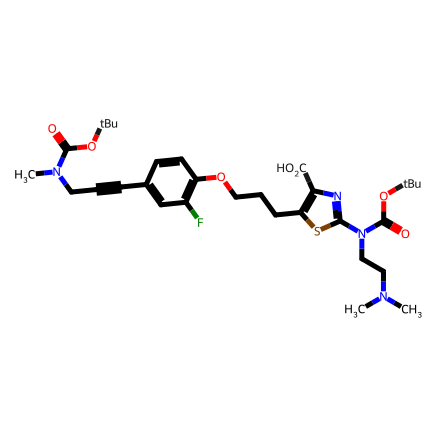 CN(C)CCN(C(=O)OC(C)(C)C)c1nc(C(=O)O)c(CCCOc2ccc(C#CCN(C)C(=O)OC(C)(C)C)cc2F)s1